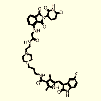 Cc1[nH]c(/C=C2\C(=O)Nc3ccc(F)cc32)c(C)c1C(=O)NCCCN1CCN(CCNC(=O)CNc2cccc3c2C(=O)N(C2CCC(=O)NC2=O)C3=O)CC1